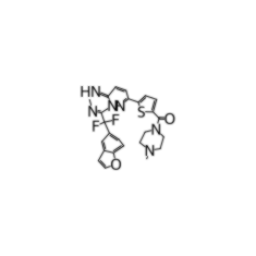 C/N=C(\n1nc(-c2ccc(C(=O)N3CCN(C)CC3)s2)ccc1=N)C(F)(F)c1ccc2occc2c1